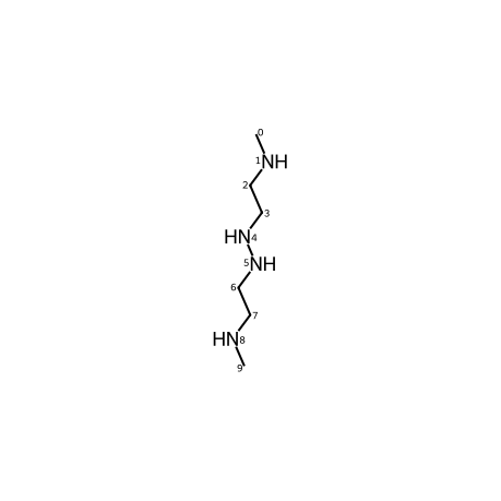 CNCCNNCCNC